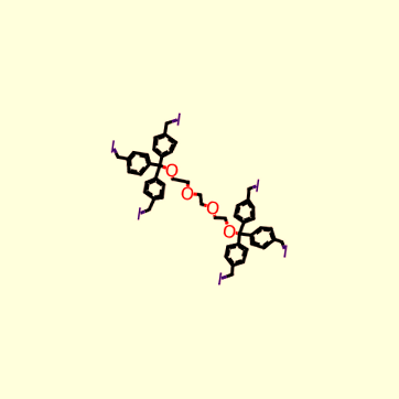 ICc1ccc(C(OCCOCCOCCOC(c2ccc(CI)cc2)(c2ccc(CI)cc2)c2ccc(CI)cc2)(c2ccc(CI)cc2)c2ccc(CI)cc2)cc1